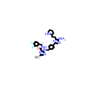 C[C@H](NC(=O)c1nc(C#N)cnc1NCc1ccc(-c2cnc(N)c(CCC3CCCCN3)n2)cc1)c1ccc(F)c(F)c1